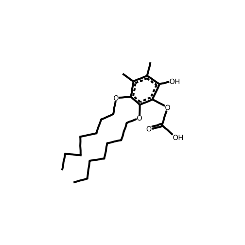 CCCCCCCOc1c(C)c(C)c(O)c(OC(=O)O)c1OCCCCCCC